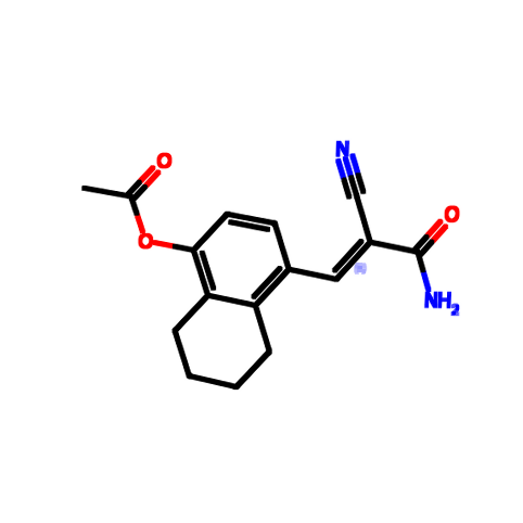 CC(=O)Oc1ccc(/C=C(\C#N)C(N)=O)c2c1CCCC2